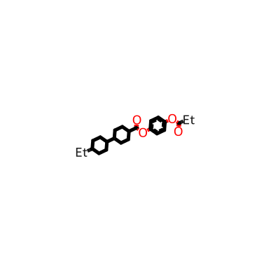 CCC(=O)Oc1ccc(OC(=O)C2CCC(C3CCC(CC)CC3)CC2)cc1